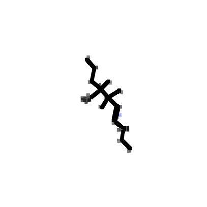 BC(C)(CCC)C(C)(C)/C=C/NCC